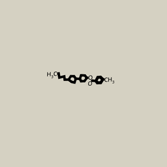 CCCCCC1CCC(C2CCC(OC(=O)c3ccc(C)cc3)CC2)CC1